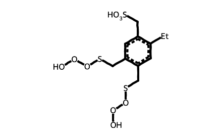 CCc1cc(CSOOO)c(CSOOO)cc1CS(=O)(=O)O